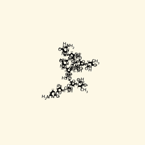 Cc1cn([C@H]2C[C@@H](OP(=O)(S)OC[C@H]3O[C@@H](n4ccc(N)nc4=O)C[C@H]3C(C)C)[C@@H](COP(=O)(S)O[C@@H]3C[C@H](n4cnc5c(=O)[nH]c(N)nc54)O[C@@H]3COP(=O)(S)O[C@@H]3C[C@H](n4cc(C)c(=O)[nH]c4=O)O[C@@H]3COP(=S)(S)O[C@@H]3C[C@H](n4cnc5c(=O)[nH]c(N)nc54)O[C@@H]3COP(=O)(S)OC(C)C)O2)c(=O)[nH]c1=O